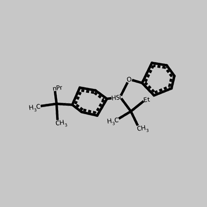 CCCC(C)(C)c1ccc([SiH](Oc2ccccc2)C(C)(C)CC)cc1